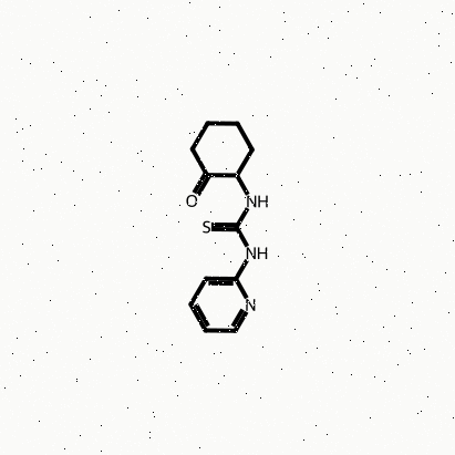 O=C1CCCCC1NC(=S)Nc1ccccn1